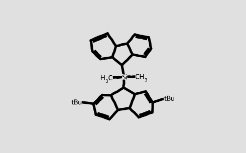 CC(C)(C)C1=CC2C(C=C1)C1C=CC(C(C)(C)C)=CC1C2[Si](C)(C)C1C2C=CC=CC2C2C=CC=CC21